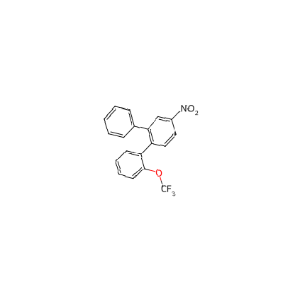 O=[N+]([O-])c1ccc(-c2ccccc2OC(F)(F)F)c(-c2ccccc2)c1